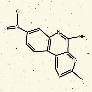 Nc1nc2cc([N+](=O)[O-])ccc2c2ccc(Cl)nc12